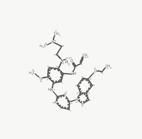 C=CC(=O)Nc1cc(Nc2nccc(-n3ncc4cc(OCC)ccc43)n2)c(OC)cc1N(C)CCN(C)C